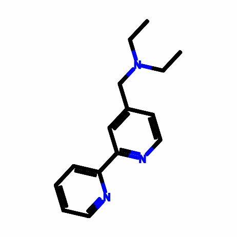 CCN(CC)Cc1ccnc(-c2ccccn2)c1